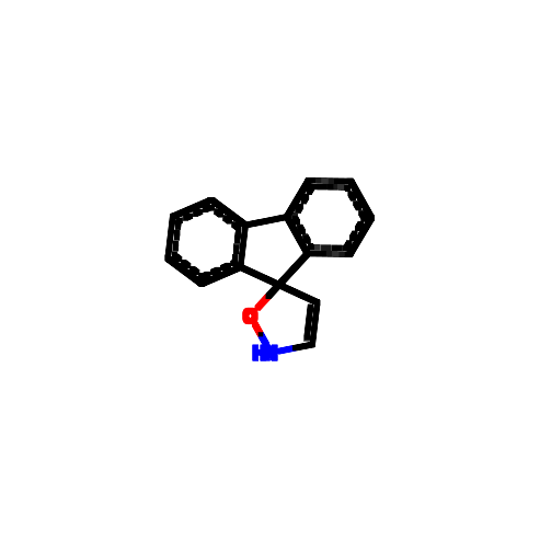 C1=CC2(ON1)c1ccccc1-c1ccccc12